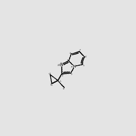 CC1(c2cn3ccccc3n2)CC1